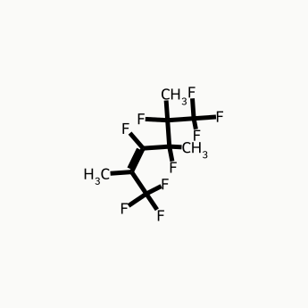 CC(=C(F)C(C)(F)C(C)(F)C(F)(F)F)C(F)(F)F